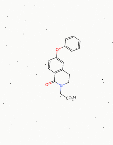 O=C(O)CN1CCc2cc(Oc3ccccc3)ccc2C1=O